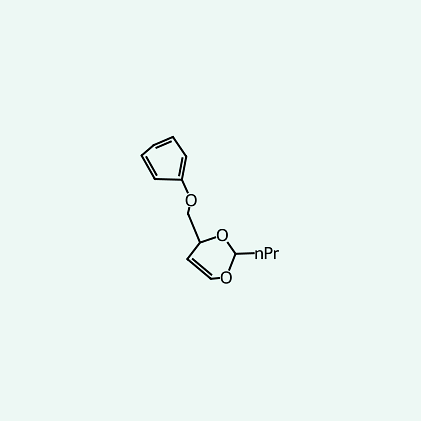 CCCC1OC=CC(COc2ccccc2)O1